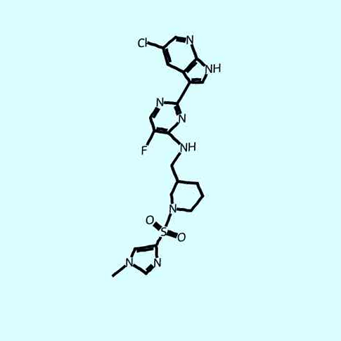 Cn1cnc(S(=O)(=O)N2CCCC(CNc3nc(-c4c[nH]c5ncc(Cl)cc45)ncc3F)C2)c1